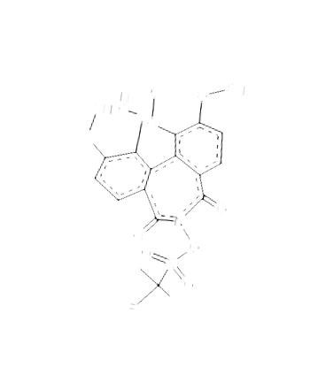 COc1ccc2c(=O)n(OS(=O)(=O)C(F)(F)F)c(=O)c3ccc(OC)c(OC)c3c2c1OC